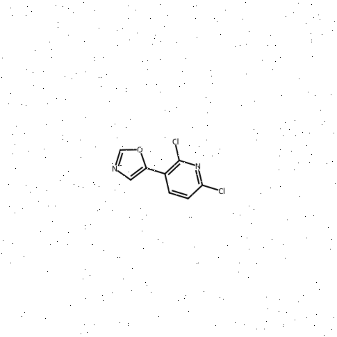 Clc1ccc(-c2cnco2)c(Cl)n1